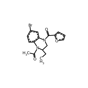 CCC1CN(C(=O)c2ccco2)c2cc(Br)ccc2N1C(C)=O